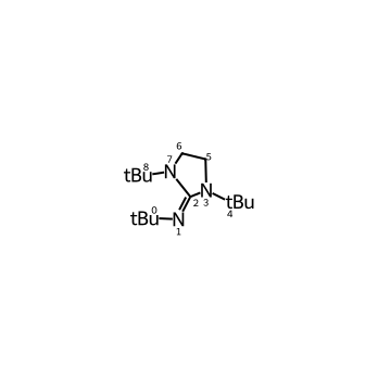 CC(C)(C)N=C1N(C(C)(C)C)CCN1C(C)(C)C